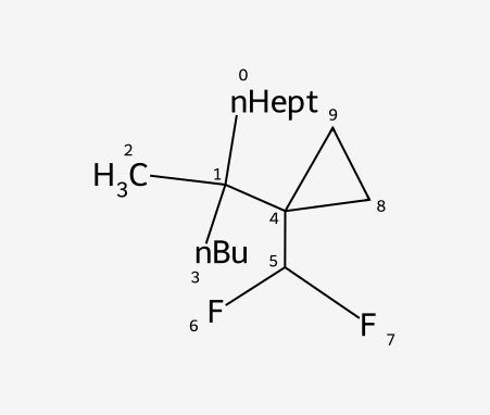 CCCCCCCC(C)(CCCC)C1(C(F)F)CC1